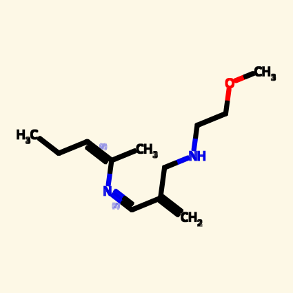 C=C(/C=N\C(C)=C/CC)CNCCOC